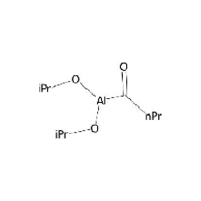 CCC[C](=O)[Al]([O]C(C)C)[O]C(C)C